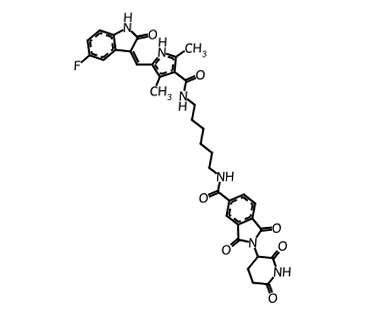 Cc1[nH]c(/C=C2\C(=O)Nc3ccc(F)cc32)c(C)c1C(=O)NCCCCCCNC(=O)c1ccc2c(c1)C(=O)N(C1CCC(=O)NC1=O)C2=O